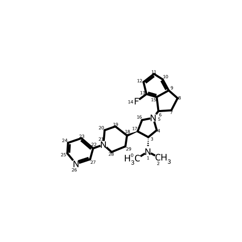 CN(C)[C@H]1CN(C2CCc3cccc(F)c32)C[C@@H]1C1CCN(c2cccnc2)CC1